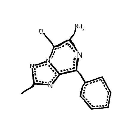 Cc1nc2c(-c3ccccc3)nc(N)c(Cl)n2n1